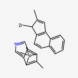 CC1=C2C3=CN=CC3=C1[Si]2(C)C.CC1=Cc2c(ccc3ccccc23)[CH]1[Zr]